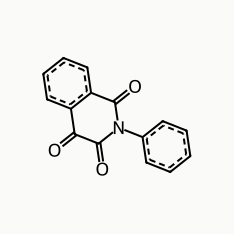 O=C1C(=O)N(c2ccccc2)C(=O)c2ccccc21